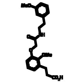 COc1cccc(CCNC(=O)COc2cccc(CCC(=O)O)c2OC)c1